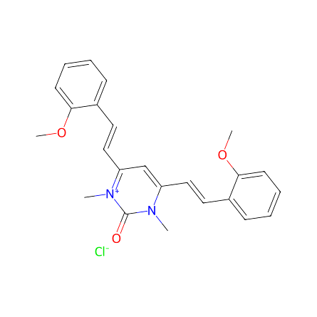 COc1ccccc1C=Cc1cc(C=Cc2ccccc2OC)[n+](C)c(=O)n1C.[Cl-]